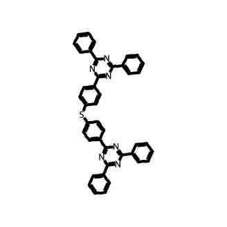 c1ccc(-c2nc(-c3ccccc3)nc(-c3ccc(Sc4ccc(-c5nc(-c6ccccc6)nc(-c6ccccc6)n5)cc4)cc3)n2)cc1